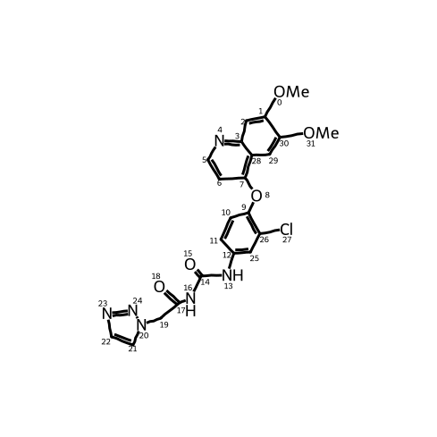 COc1cc2nccc(Oc3ccc(NC(=O)NC(=O)Cn4ccnn4)cc3Cl)c2cc1OC